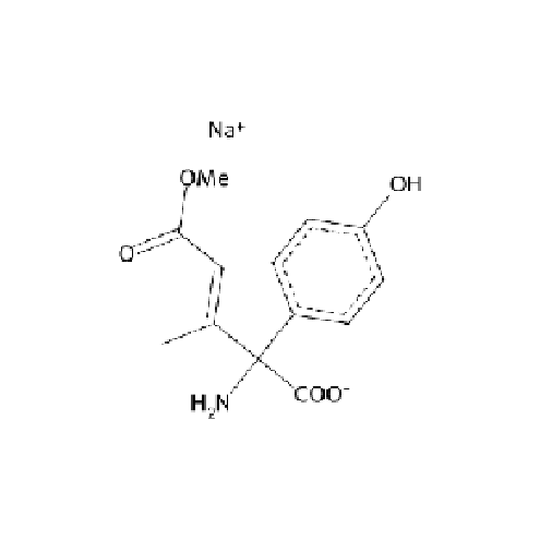 COC(=O)C=C(C)C(N)(C(=O)[O-])c1ccc(O)cc1.[Na+]